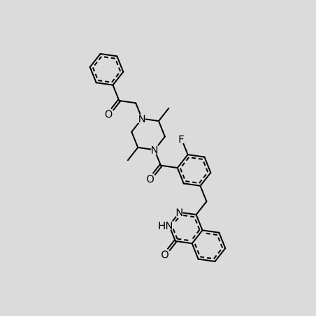 CC1CN(C(=O)c2cc(Cc3n[nH]c(=O)c4ccccc34)ccc2F)C(C)CN1CC(=O)c1ccccc1